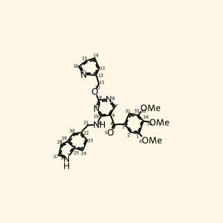 COc1cc(C(=O)c2cnc(OCc3ccccn3)nc2NCc2ccc3[nH]ccc3c2)cc(OC)c1OC